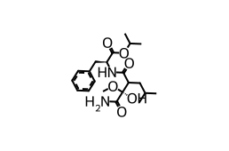 CO[C@](O)(C(N)=O)C(CC(C)C)C(=O)N[C@@H](Cc1ccccc1)C(=O)OC(C)C